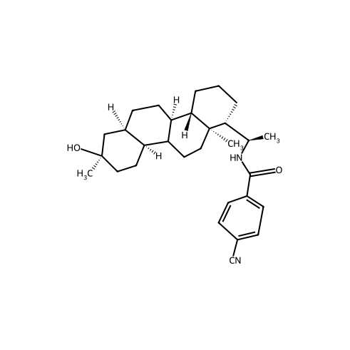 C[C@@H](NC(=O)c1ccc(C#N)cc1)[C@H]1CCC[C@H]2[C@@H]3CC[C@@H]4C[C@](C)(O)CC[C@@H]4C3CC[C@]12C